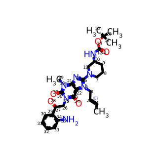 C/C=C/Cn1c(N2CCCC(NC(=O)OC(C)(C)C)C2)nc2c1c(=O)n(CC(=O)c1ccccc1N)c(=O)n2C